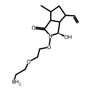 BCCOCCON1C(=O)C2C(C)CC(C=C)C2[C@H]1O